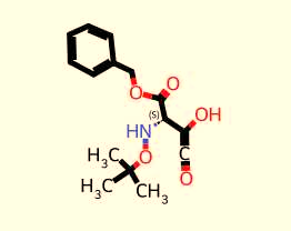 CC(C)(C)ON[C@H](C(=O)OCc1ccccc1)C(O)=C=O